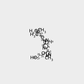 Cn1ncc(-c2cc3c(I)nn(COCC[Si](C)(C)C)c3cn2)c1OCCCO